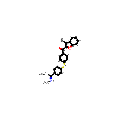 CCCCCCC/C(=N\OC(C)=O)c1ccc(Sc2ccc(C(=O)c3oc4ccccc4c3CC)cc2)cc1